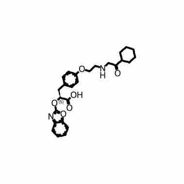 O=C(CNCCOc1ccc(C[C@H](Oc2nc3ccccc3o2)C(=O)O)cc1)C1CCCCC1